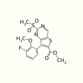 COC(=O)c1sc2cnc(S(C)(=O)=O)nc2c1-c1cccc(F)c1OC